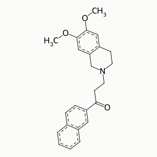 COc1cc2c(cc1OC)CN(CCC(=O)c1ccc3ccccc3c1)CC2